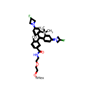 CCCCCCOCCOCCNC(=O)c1ccc(C(=O)O)c(C2=C3C=CC(=[N+]4CC(F)C4)C=C3[Si](C)(C)c3cc(N4CC(F)C4)ccc32)c1